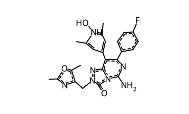 C=C(C)/C=C(\C=C(\C)NO)c1c(-c2ccc(F)cc2)nc(N)n2c(=O)n(Cc3nc(C)oc3C)nc12